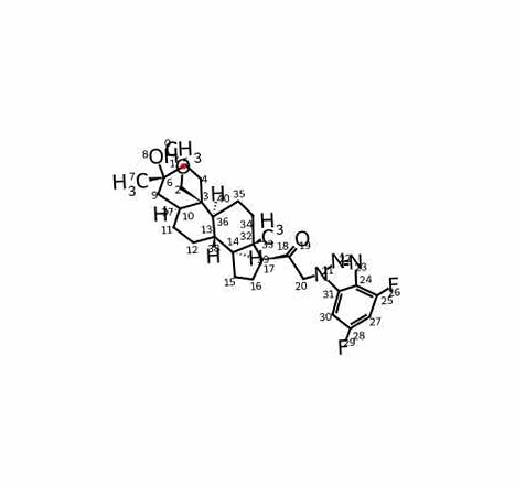 COC[C@]12CC[C@@](C)(O)C[C@@H]1CC[C@H]1[C@@H]3CC[C@H](C(=O)Cn4nnc5c(F)cc(F)cc54)[C@@]3(C)CC[C@@H]12